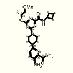 COC[C@@H](C)Oc1nc(C(=O)NC2CCC2)nc(N2CCC(c3ccc(N)c(C(N)=O)n3)CC2)n1